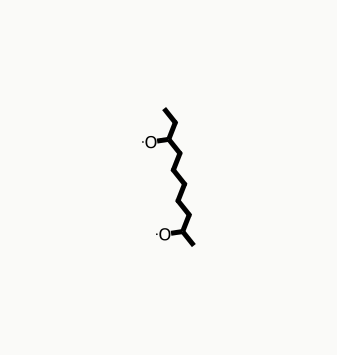 CCC([O])CCCCCC(C)[O]